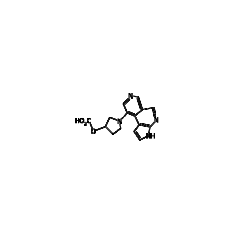 O=C(O)OC1CCN(c2cncc3cnc4[nH]ccc4c23)C1